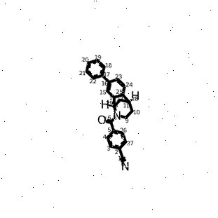 N#Cc1ccc(C(=O)N2CC[C@@H]3C[C@H]2C2C=C(c4ccccc4)C=CC23)cc1